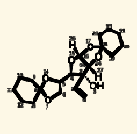 C=C[C@@]1(O)[C@@H]([C@H]2COC3(CCCCC3)O2)O[C@@H]2OC3(CCCCC3)O[C@@H]21